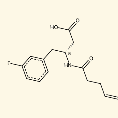 C=CCCC(=O)N[C@@H](CC(=O)O)Cc1cccc(F)c1